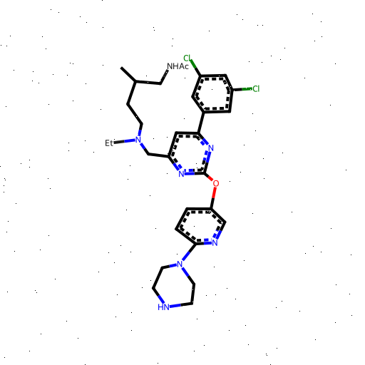 CCN(CCC(C)CNC(C)=O)Cc1cc(-c2cc(Cl)cc(Cl)c2)nc(Oc2ccc(N3CCNCC3)nc2)n1